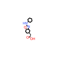 O=C(O)Cc1ccc2oc(Nc3ccccc3)nc2c1